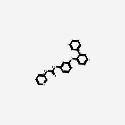 O=C(Nc1cccnc1)Nc1cccc(Oc2ccccc2-c2ccccc2)c1